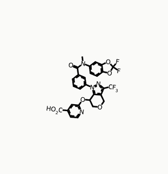 CN(C(=O)c1cccc(-n2nc(C(F)(F)F)c3c2C(Oc2cc(C(=O)O)ccn2)COC3)c1)c1ccc2c(c1)OC(F)(F)O2